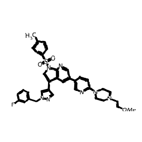 COCCN1CCN(c2ccc(-c3cnc4c(c3)c(-c3cnn(Cc5cccc(F)c5)c3)cn4S(=O)(=O)c3ccc(C)cc3)cn2)CC1